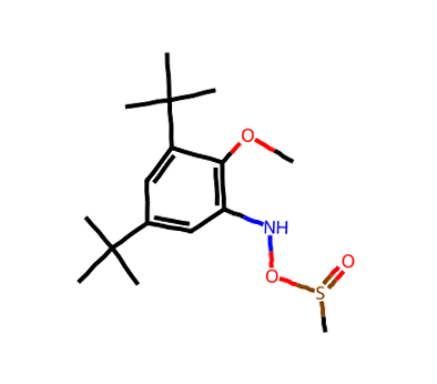 COc1c(NOS(C)=O)cc(C(C)(C)C)cc1C(C)(C)C